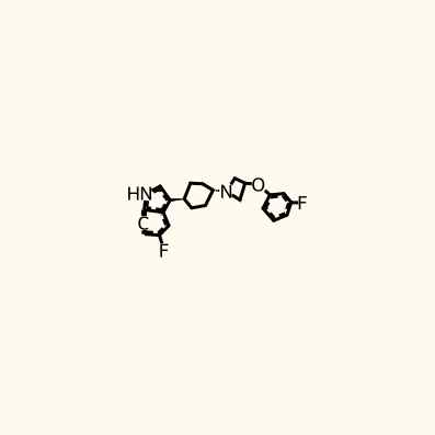 Fc1cccc(OC2CN([C@H]3CC[C@H](c4c[nH]c5ccc(F)cc54)CC3)C2)c1